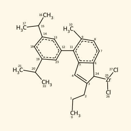 CCCC1=Cc2c(ccc(C)c2-c2cc(C(C)C)cc(C(C)C)c2)[CH]1[Zr]([Cl])[Cl]